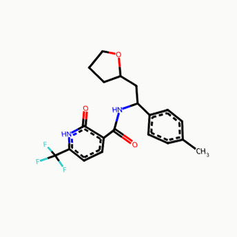 Cc1ccc(C(CC2CCCO2)NC(=O)c2ccc(C(F)(F)F)[nH]c2=O)cc1